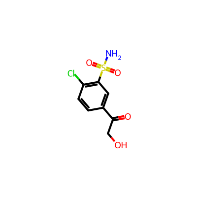 NS(=O)(=O)c1cc(C(=O)CO)ccc1Cl